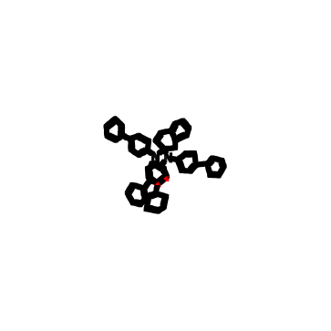 C1=CC(N(c2ccc(-c3ccccc3)cc2)c2ccc(-c3ccccc3)cc2)(N(c2ccc(-c3ccccc3)cc2)c2ccc(-c3ccccc3)cc2)Cc2ccccc21